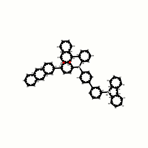 c1cc(-c2ccc(N(c3ccc(-c4ccc5cc6ccccc6cc5c4)cc3)c3ccccc3-c3cccc4ccccc34)cc2)cc(-n2c3ccccc3c3ccccc32)c1